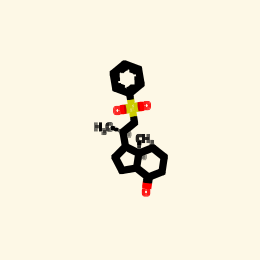 C[C@H](CS(=O)(=O)c1ccccc1)C1CCC2C(=O)CCC[C@@]21C